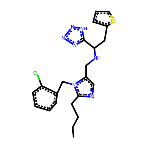 CCCCc1ncc(CNC(Cc2cccs2)c2nnn[nH]2)n1Cc1ccccc1Cl